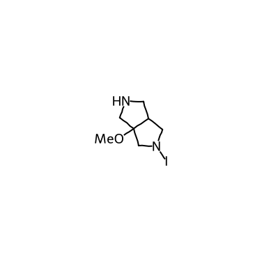 COC12CNCC1CN(I)C2